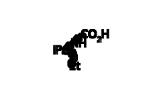 CCOCCOc1ccc(-c2cc(CNc3ccc(CCC(=O)O)cc3)ccc2OC(C)C)cc1